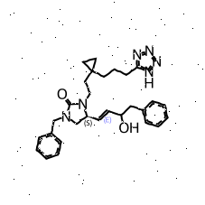 O=C1N(Cc2ccccc2)C[C@H](/C=C/C(O)Cc2ccccc2)N1CCC1(CCCc2nnn[nH]2)CC1